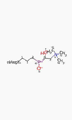 CCCCCCCCCC/[P+]([O-])=C(\O)C[N+](C)(C)C